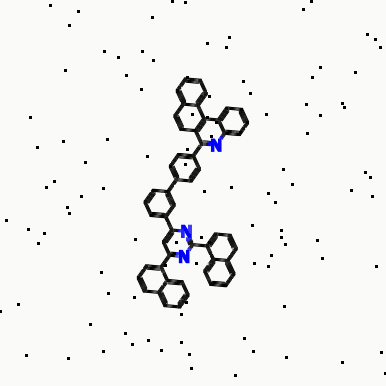 c1cc(-c2ccc(-c3nc4ccccc4c4c3ccc3ccccc34)cc2)cc(-c2cc(-c3cccc4ccccc34)nc(-c3cccc4ccccc34)n2)c1